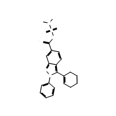 CN(C)S(=O)(=O)NC(=O)c1ccc2c(C3=CCCCC3)n(-c3ccccc3)nc2c1